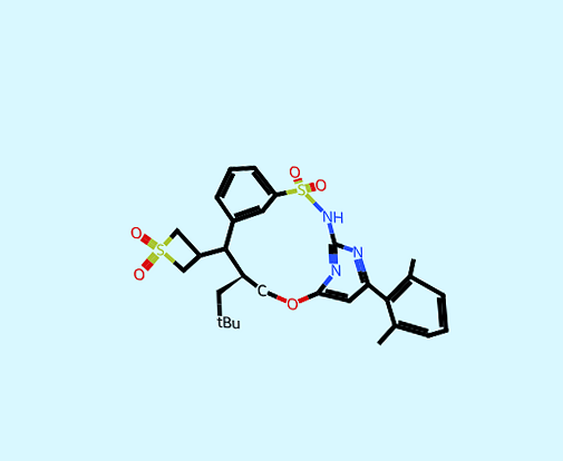 Cc1cccc(C)c1-c1cc2nc(n1)NS(=O)(=O)c1cccc(c1)C(C1CS(=O)(=O)C1)[C@H](CC(C)(C)C)CO2